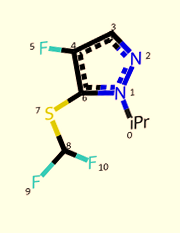 CC(C)n1n[c]c(F)c1SC(F)F